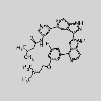 CC(C)CC(=O)Nc1cncc(-c2cc3c(-c4cc5c(-c6cc(F)cc(OCCN(C)C)c6)nccc5[nH]4)n[nH]c3cn2)c1